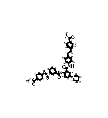 CN(C1CCC(C(=O)OI)CC1)[S+]([O-])c1cccc(C(=O)Nc2ccc(N3CCCCC3)cc2C(=O)Nc2ccc(CCc3ccc(C(=O)OI)cc3)cc2)c1